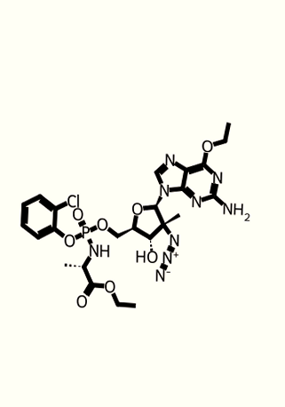 CCOC(=O)[C@H](C)NP(=O)(OC[C@H]1O[C@@H](n2cnc3c(OCC)nc(N)nc32)[C@](C)(N=[N+]=[N-])[C@@H]1O)Oc1ccccc1Cl